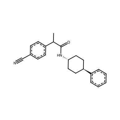 CC(C(=O)N[C@H]1CC[C@H](c2ccccc2)CC1)c1ccc(C#N)cc1